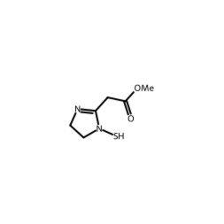 COC(=O)CC1=NCCN1S